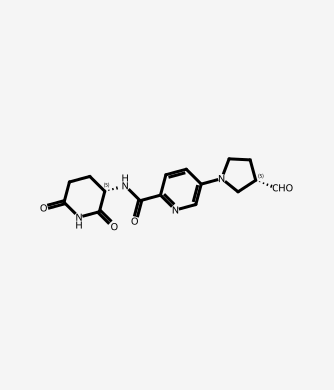 O=C[C@H]1CCN(c2ccc(C(=O)N[C@H]3CCC(=O)NC3=O)nc2)C1